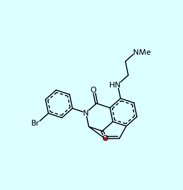 CNCCNc1ccc2c3c1C(=O)N(c1cccc(Br)c1)C(C=C2)C3=O